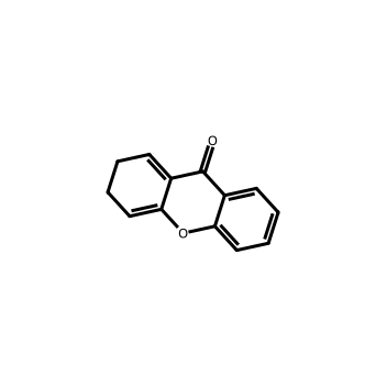 O=c1c2c(oc3ccccc13)=CCCC=2